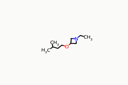 CCN1CC(OCCC(C)C)C1